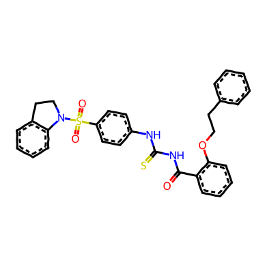 O=C(NC(=S)Nc1ccc(S(=O)(=O)N2CCc3ccccc32)cc1)c1ccccc1OCCc1ccccc1